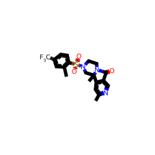 Cc1cc2c(cn1)C(=O)N1CCN(S(=O)(=O)c3ccc(C(F)(F)F)cc3C)CC21C